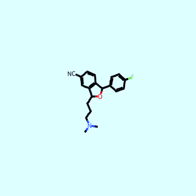 CN(C)CCCC1OC(c2ccc(F)cc2)c2ccc(C#N)cc21